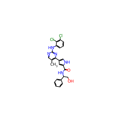 Cc1cnc(Nc2cccc(Cl)c2Cl)nc1-c1c[nH]c(C(=O)NC(CO)c2ccccc2)c1